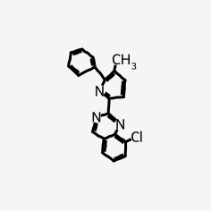 Cc1ccc(-c2ncc3cccc(Cl)c3n2)nc1-c1ccccc1